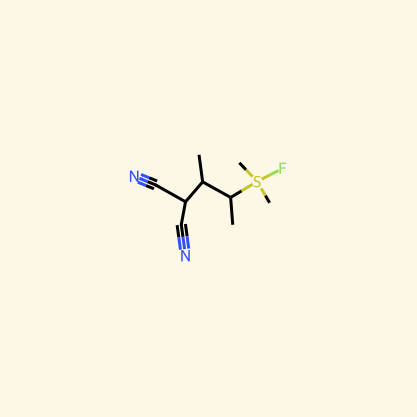 CC(C(C#N)C#N)C(C)S(C)(C)F